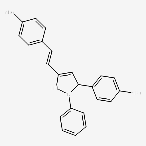 CCCCc1ccc(C=CC2=CC(c3ccc(CCCC)cc3)N(c3ccccc3)N2)cc1